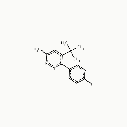 Cc1cc(C(C)(C)C)c(-c2ccc(F)nc2)nn1